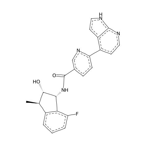 C[C@@H]1c2cccc(F)c2[C@@H](NC(=O)c2ccc(-c3ccnc4[nH]ccc34)nc2)[C@H]1O